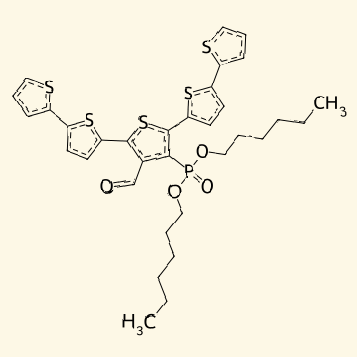 CCCCCCOP(=O)(OCCCCCC)c1c(-c2ccc(-c3cccs3)s2)sc(-c2ccc(-c3cccs3)s2)c1C=O